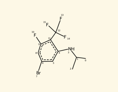 CC(C)Nc1cc(Br)cc(F)c1C(F)(F)F